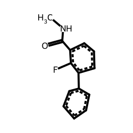 CNC(=O)c1cccc(-c2ccccc2)c1F